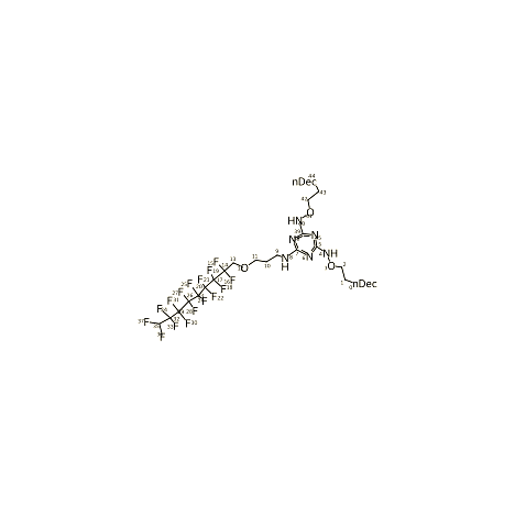 CCCCCCCCCCCCONc1nc(NCCCOCC(F)(F)C(F)(F)C(F)(F)C(F)(F)C(F)(F)C(F)(F)C(F)(F)C(F)F)nc(NOCCCCCCCCCCCC)n1